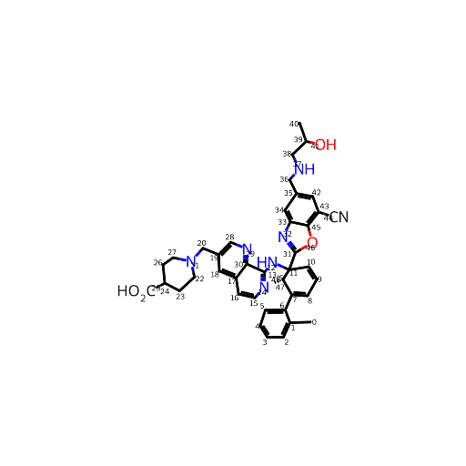 Cc1ccccc1C1=CC=CC(Nc2nccc3cc(CN4CCC(C(=O)O)CC4)cnc23)(c2nc3cc(CNCC(C)O)cc(C#N)c3o2)[C@H]1C